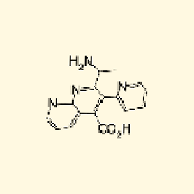 CC(N)c1nc2ncccc2c(C(=O)O)c1-c1ccccn1